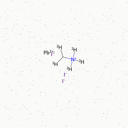 [2H]C([2H])[N+]([2H])([2H])[2H].[I-].[I-].[I-].[Pb+2]